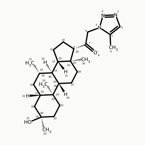 Cc1cnnn1CC(=O)[C@H]1CC[C@H]2[C@@H]3[C@@H](C)C[C@H]4C[C@](C)(O)CC[C@]4(C)[C@H]3CC[C@]12C